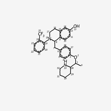 CC(Oc1ccc(CC2c3ccc(O)cc3CCN2c2ccccc2C(F)(F)F)cc1)C1CCCCN1